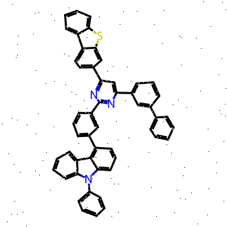 c1ccc(-c2cccc(-c3cc(-c4ccc5c(c4)sc4ccccc45)nc(-c4cccc(-c5cccc6c5c5ccccc5n6-c5ccccc5)c4)n3)c2)cc1